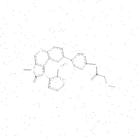 COCC(=O)Nc1ccc(-c2ccc3ncc4c(c3c2)n(-c2cccnc2OC)c(=O)n4C)cn1